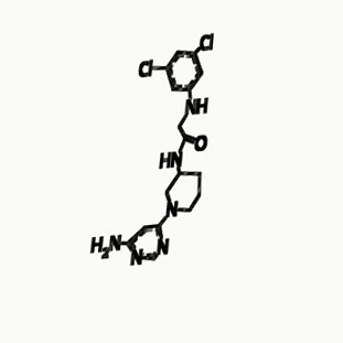 Nc1cc(N2CCCC(NC(=O)CNc3cc(Cl)cc(Cl)c3)C2)ncn1